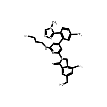 Cn1cnnc1-c1ccc(C(F)(F)F)cc1-c1cc(NCCCC#N)nc(N2Cc3c(cc(CO)cc3C(F)(F)F)C2=O)c1